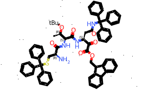 C[C@@H](OC(C)(C)C)[C@H](NC(=O)[C@@H](N)CSC(c1ccccc1)(c1ccccc1)c1ccccc1)C(=O)N[C@@H](CC(=O)NC(c1ccccc1)(c1ccccc1)c1ccccc1)C(=O)C(=O)OCC1c2ccccc2-c2ccccc21